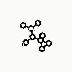 c1ccc(-c2cc(-c3ccccc3)nc(-c3cc(-c4ccncc4)cc(-c4cc5c6ccccc6c6ccccc6c5c5ccccc45)c3)n2)cc1